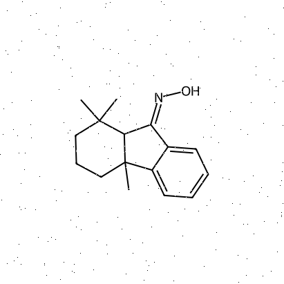 CC1(C)CCCC2(C)c3ccccc3C(=NO)C12